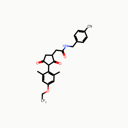 Cc1cc(OCC(F)(F)F)cc(C)c1C1C(=O)CC(CC(=O)NCc2ccc(C#N)cc2)C1=O